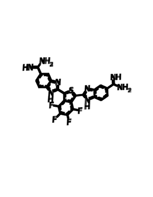 N=C(N)c1ccc2[nH]c(-c3sc(-c4nc5cc(C(=N)N)ccc5[nH]4)c4c(F)c(F)c(F)c(F)c34)nc2c1